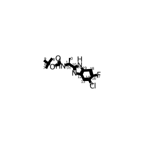 C[C@H](NC(=O)OC(C)(C)C)c1nc2cc(Cl)c(F)cc2[nH]1